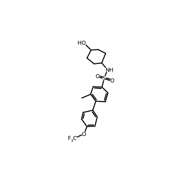 Cc1cc(S(=O)(=O)NC2CCC(O)CC2)ccc1-c1ccc(OC(F)(F)F)cc1